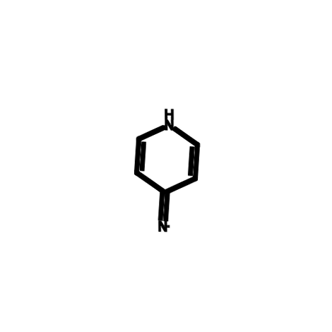 [N]=c1cc[nH]cc1